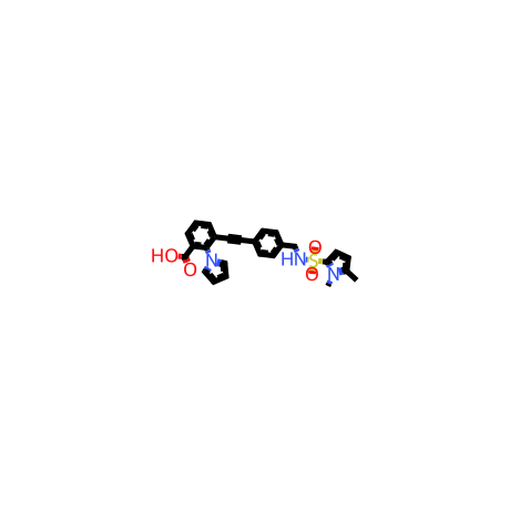 Cc1ccc(S(=O)(=O)NCc2ccc(C#Cc3cccc(C(=O)O)c3-n3cccc3)cc2)n1C